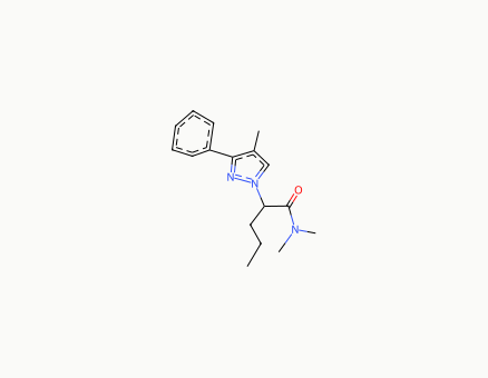 CCCC(C(=O)N(C)C)n1cc(C)c(-c2ccccc2)n1